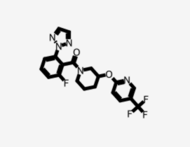 O=C(c1c(F)cccc1-n1nccn1)N1CCCC(Oc2ccc(C(F)(F)F)cn2)C1